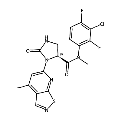 Cc1cc(N2C(=O)NC[C@H]2C(=O)N(C)c2ccc(F)c(Cl)c2F)nc2sncc12